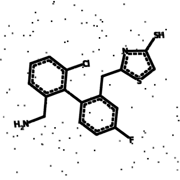 NCc1cccc(Cl)c1-c1ccc(F)cc1Cc1nc(S)cs1